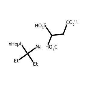 CCCCCCC[C]([Na])(CC)CC.O=C(O)CC(C(=O)O)S(=O)(=O)O